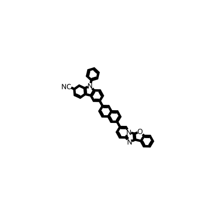 N#CC1C=Cc2c(n(-c3ccccc3)c3ccc(-c4ccc5cc(-c6ccc7nc8c9ccccc9oc8n7c6)ccc5c4)cc23)C1